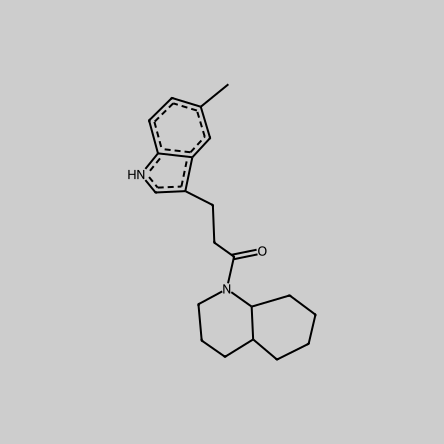 Cc1ccc2[nH]cc(CCC(=O)N3CCCC4CCCCC43)c2c1